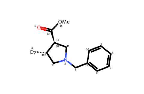 CC[C@H]1CN(Cc2ccccc2)C[C@@H]1C(=O)OC